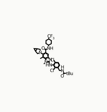 Cc1c(N2CC3CC3C2)c(C(=O)NC2CCC(C(F)(F)F)CC2)cc2nc(Nc3c(Cl)ccc(CNC(=O)C(C)(C)C)c3Cl)n(C)c12